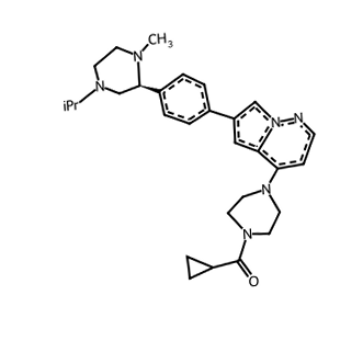 CC(C)N1CCN(C)[C@@H](c2ccc(-c3cc4c(N5CCN(C(=O)C6CC6)CC5)ccnn4c3)cc2)C1